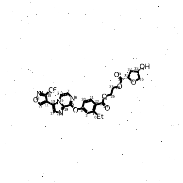 CCc1cc(Oc2nccn3c(-c4conc4C(F)(F)F)cnc23)ccc1C(=O)OCCOC(=O)[C@@H]1C[C@@H](O)CO1